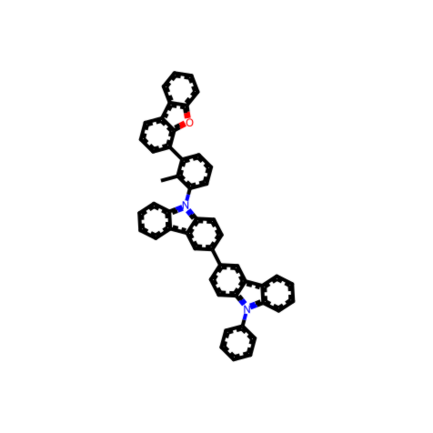 Cc1c(-c2cccc3c2oc2ccccc23)cccc1-n1c2ccccc2c2cc(-c3ccc4c(c3)c3ccccc3n4-c3ccccc3)ccc21